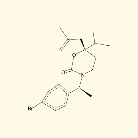 C=C(C)C[C@@]1(C(C)C)CCN([C@@H](C)c2ccc(Br)cc2)C(=O)O1